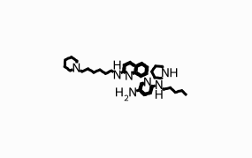 C1CCNCC1.CCCCCNc1ccc(N)cn1.c1ccc2nc(NCCCCCCN3CCCCC3)ccc2c1